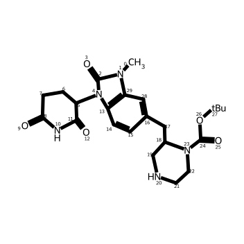 Cn1c(=O)n(C2CCC(=O)NC2=O)c2ccc(CC3CNCCN3C(=O)OC(C)(C)C)cc21